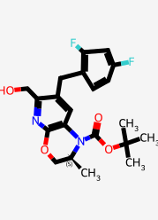 C[C@H]1COc2nc(CO)c(Cc3ccc(F)cc3F)cc2N1C(=O)OC(C)(C)C